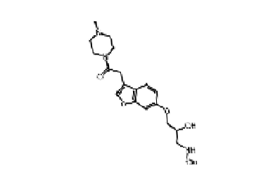 CN1CCN(C(=O)Cc2coc3cc(OCC(O)CNC(C)(C)C)ccc23)CC1